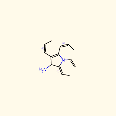 C=CN1C(/C=C\C)=C(/C=C\C)C(N)/C1=C/C